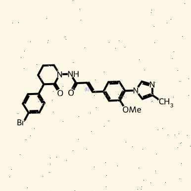 COc1cc(/C=C/C(=O)NN2CCCC(c3ccc(Br)cc3)C2=O)ccc1-n1cnc(C)c1